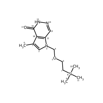 Cc1cn(COCC[Si](C)(C)C)c2cn[nH]c(=O)c12